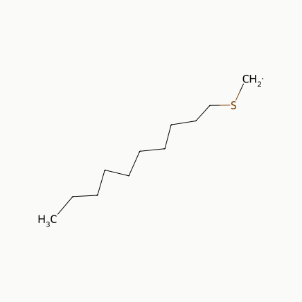 [CH2]SCCCCCCCCCC